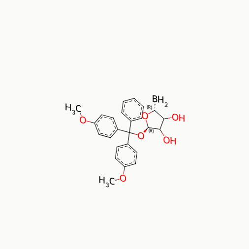 B[C@H]1O[C@H](OC(c2ccccc2)(c2ccc(OC)cc2)c2ccc(OC)cc2)C(O)C1O